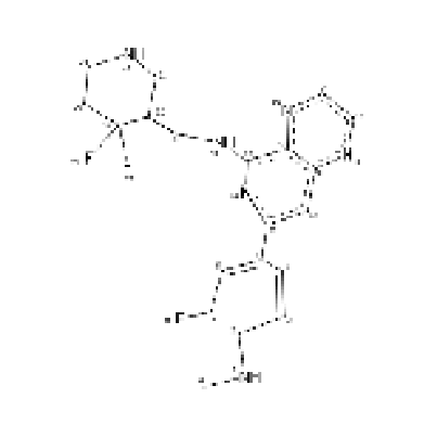 CNC/C=C\C(=C/CF)c1cc2nccnc2c(NCC2CNCCC2(F)F)n1